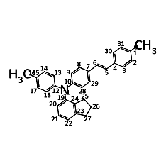 Cc1ccc(C=Cc2ccc(N(c3ccc(C)cc3)c3cccc4c3CCC4)cc2)cc1